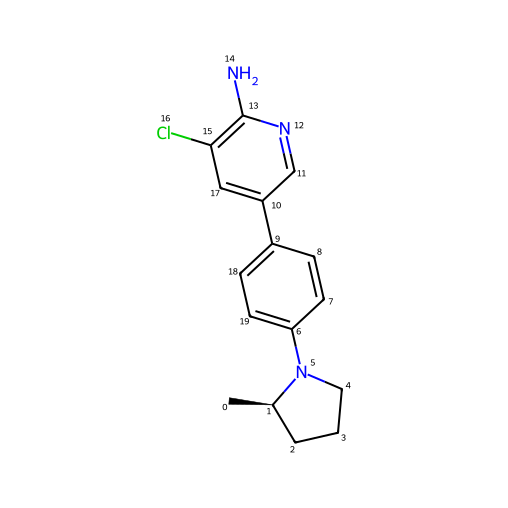 C[C@@H]1CCCN1c1ccc(-c2cnc(N)c(Cl)c2)cc1